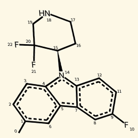 Cc1ccc2c(c1)c1cc(F)ccc1n2[C@@H]1CCNCC1(F)F